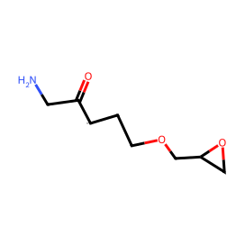 NCC(=O)[CH]CCOCC1CO1